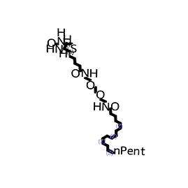 CCCCC/C=C\C/C=C\C/C=C\C/C=C\CCCC(=O)NCCOCCOCCNC(=O)CCCC[C@@H]1SC[C@@H]2NC(=O)N[C@@H]21